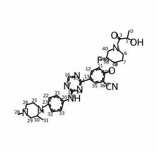 CC(O)C(=O)N1CC[C@H](Oc2ccc(-c3ncnc(Nc4ccc(N5CCN(C)CC5C)cc4)n3)cc2C#N)[C@H](F)C1